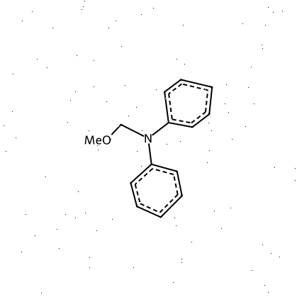 COCN(c1ccccc1)c1ccccc1